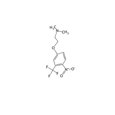 CN(C)CCOc1ccc([N+](=O)[O-])c(C(F)(F)F)c1